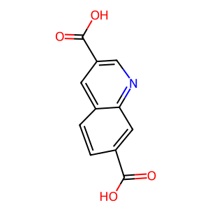 O=C(O)c1cnc2cc(C(=O)O)ccc2c1